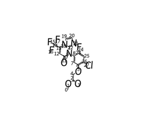 COC(=O)COc1cc(-n2c(=O)cc(C(F)(F)F)n3ccnc23)c(F)cc1Cl